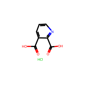 Cl.O=C(O)c1cccnc1C(=O)O